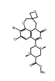 C[C@H]1CN(c2nc(=O)n3c4c(c(Br)c(Cl)cc24)OCC2(COC2)C3)[C@@H](C)CN1C(=O)OC(C)(C)C